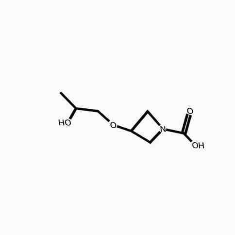 CC(O)COC1CN(C(=O)O)C1